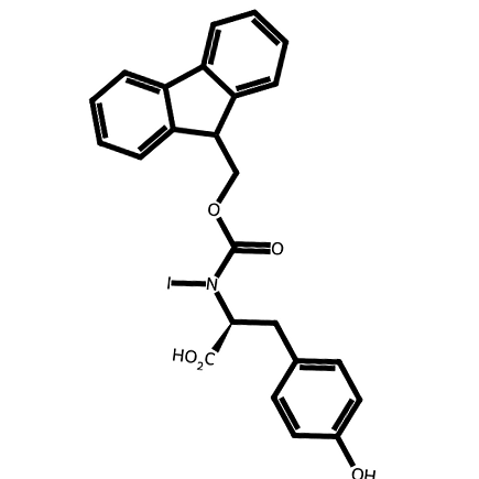 O=C(O)[C@H](Cc1ccc(O)cc1)N(I)C(=O)OCC1c2ccccc2-c2ccccc21